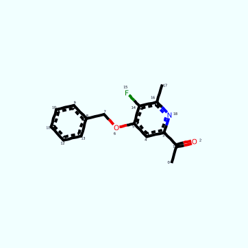 CC(=O)c1cc(OCc2ccccc2)c(F)c(C)n1